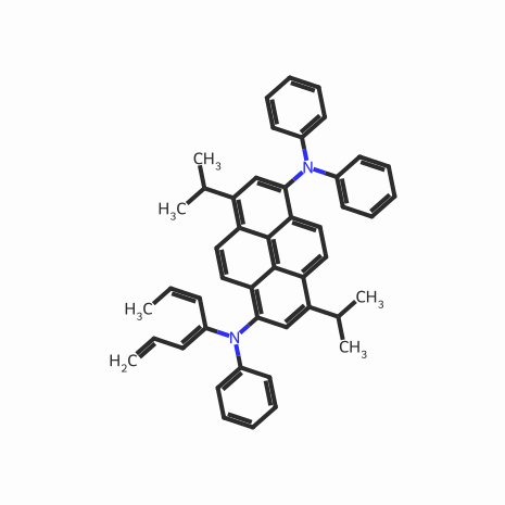 C=C/C=C(\C=C/C)N(c1ccccc1)c1cc(C(C)C)c2ccc3c(N(c4ccccc4)c4ccccc4)cc(C(C)C)c4ccc1c2c43